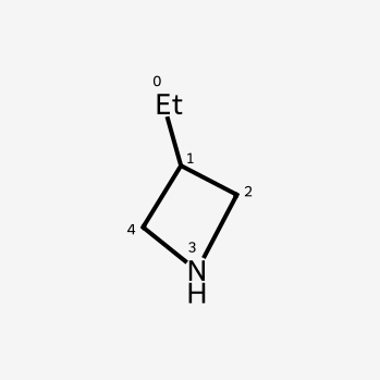 [CH2]CC1CNC1